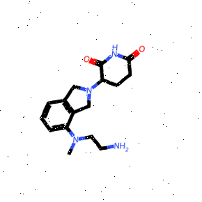 CN(CCN)c1cccc2c1CN(C1CCC(=O)NC1=O)C2